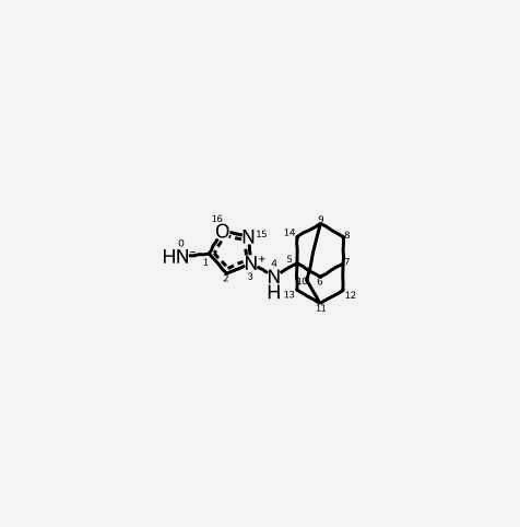 [NH-]c1c[n+](NC23CC4CC(CC(C4)C2)C3)no1